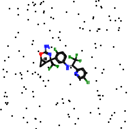 NC1=N[C@@](c2cc(N[C@@H](c3ccc(Cl)cn3)C(F)(F)F)ccc2F)(C(F)F)C2C[C@H]2O1